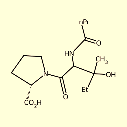 CCCC(=O)NC(C(=O)N1CCC[C@H]1C(=O)O)C(C)(O)CC